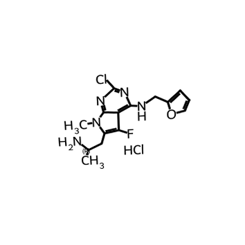 C[C@@H](N)Cc1c(F)c2c(NCc3ccco3)nc(Cl)nc2n1C.Cl